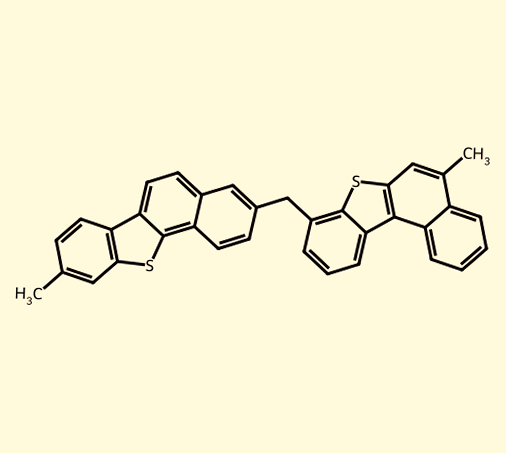 Cc1ccc2c(c1)sc1c3ccc(Cc4cccc5c4sc4cc(C)c6ccccc6c45)cc3ccc21